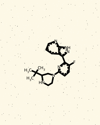 CC(C)(C)C1CN(c2ccc(F)c(-c3n[nH]c4ncccc34)n2)CCN1